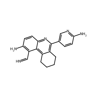 N=Cc1c(N)ccc2nc(-c3ccc(N)nc3)c3c(c12)CCCC3